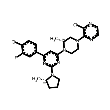 C[C@@H]1CN(c2nccnc2Cl)CCN1c1cc(-c2ccc(Cl)c(F)c2)nc(N2CCC[C@@H]2C)n1